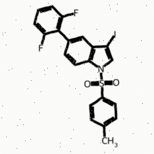 Cc1ccc(S(=O)(=O)n2cc(I)c3cc(-c4c(F)cccc4F)ccc32)cc1